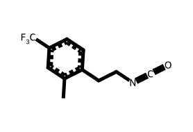 Cc1cc(C(F)(F)F)ccc1CCN=C=O